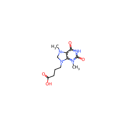 CN1CN(CCCC(=O)O)c2c1c(=O)[nH]c(=O)n2C